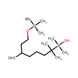 CC(C)(CCCC(C=O)CCO[Si](C)(C)C(C)(C)C)[Si](C)(C)O